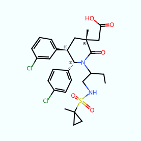 CCC(CNS(=O)(=O)C1(C)CC1)N1C(=O)[C@@](C)(CC(=O)O)C[C@H](c2cccc(Cl)c2)[C@H]1c1ccc(Cl)cc1